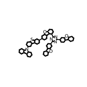 c1ccc2c(c1)oc1cc(-c3nc(-c4ccc5c(c4)oc4ccccc45)nc(-c4cccc5oc6cc(-c7ccc8c(c7)sc7ccc(-n9c%10ccccc%10c%10ccccc%109)cc78)ccc6c45)n3)ccc12